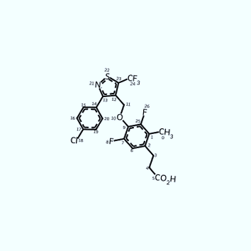 Cc1c(CCC(=O)O)cc(F)c(OCc2c(-c3ccc(Cl)cc3)nsc2C(F)(F)F)c1F